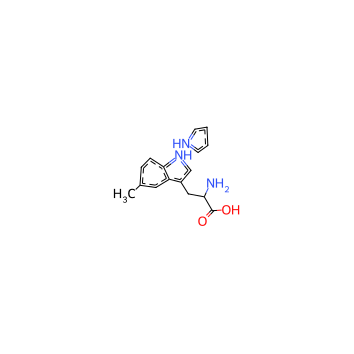 Cc1ccc2[nH]cc(CC(N)C(=O)O)c2c1.c1cc[nH]c1